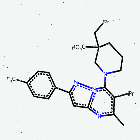 Cc1nc2cc(-c3ccc(C(F)(F)F)cc3)nn2c(N2CCCC(CC(C)C)(C(=O)O)C2)c1C(C)C